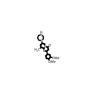 COc1ccc(-c2cc(=O)n3cc(N4CCCNCC4)cc(C)c3n2)cc1OC